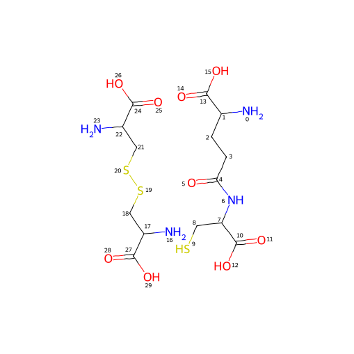 NC(CCC(=O)NC(CS)C(=O)O)C(=O)O.NC(CSSCC(N)C(=O)O)C(=O)O